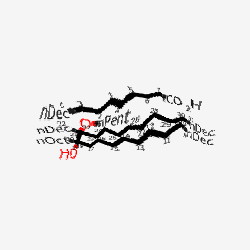 CCCCCCCCCCCCCCCCCC(=O)O.CCCCCCCCCCCCCCCCCCC(O)(CCCCCCCC)C(CCCCCCCCCC)(CCCCCCCCCCCCCCCCCC)OCCCCC